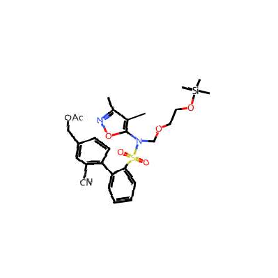 CC(=O)OCc1ccc(-c2ccccc2S(=O)(=O)N(COCCO[Si](C)(C)C)c2onc(C)c2C)c(C#N)c1